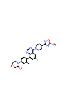 Cc1cc(N2CCOCC2=O)ccc1-c1cc(F)cc2c(N3CCC(c4noc(C(C)C)n4)CC3)ncnc12